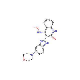 CONc1c(-c2nc3cc(N4CCOCC4)ccc3[nH]2)c(=O)[nH]c2ccccc12